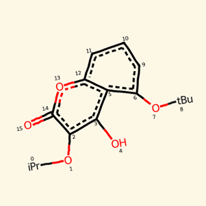 CC(C)Oc1c(O)c2c(OC(C)(C)C)cccc2oc1=O